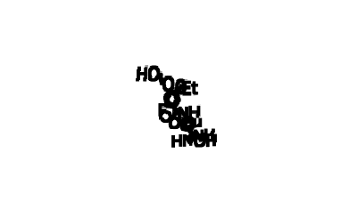 CCOc1cc([C@H](Nc2ccc(C(=N)NO)cc2)C(=O)OCC(C)C)c(F)cc1OCCO